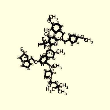 COc1ccc(CN(Cc2ccc(OC)cc2)c2cc(C)c(C(F)(F)F)c([C@@H]3Cc4nc(OC[C@@]56CCCN5C[C@H](F)C6)nc(N(C)[C@@H]5CCN(C(=O)OC(C)(C)C)C5)c4C[C@H]3C)n2)cc1